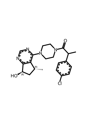 CC(C(=O)N1CCN(c2ncnc3c2[C@H](C)C[C@H]3O)CC1)c1ccc(Cl)cc1